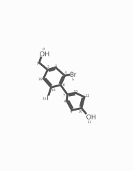 OCc1cc(Br)c(-c2ccc(O)cc2)c(I)c1